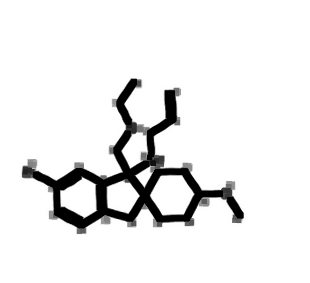 C=CCNC1(COCC)c2cc(Br)ccc2CC12CCC(OC)CC2